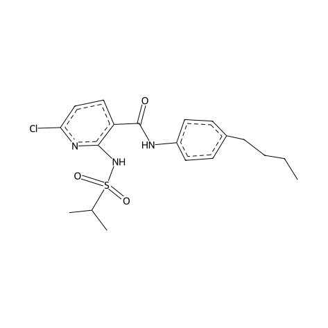 CCCCc1ccc(NC(=O)c2ccc(Cl)nc2NS(=O)(=O)C(C)C)cc1